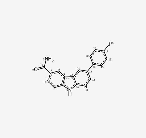 NC(=O)c1cc2c(cn1)[nH]c1ncc(-c3ccc(I)cc3)cc12